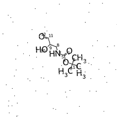 CC(C)(C)OC(=O)NCC(O)C=O